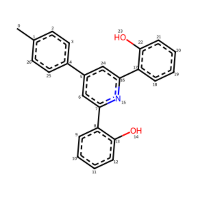 Cc1ccc(-c2cc(-c3ccccc3O)nc(-c3ccccc3O)c2)cc1